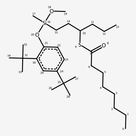 CCCCCCCC(=O)SC(CCC)CC[Si](C)(OC)Oc1ccc(C(C)(C)C)cc1C(C)(C)C